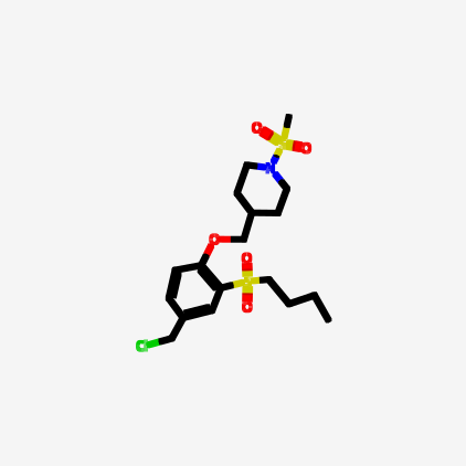 CCCCS(=O)(=O)c1cc(CCl)ccc1OCC1CCN(S(C)(=O)=O)CC1